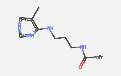 CCCC(=O)NCCCNc1ncncc1C